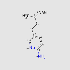 CNC(C)CCc1ccc(N)nc1